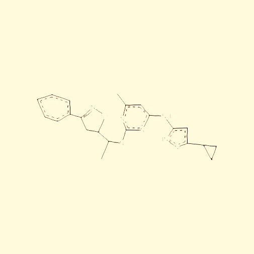 Cc1cc(Nc2cc(C3CC3)n[nH]2)nc(NC(C)C2CC(c3ccccc3)=NO2)n1